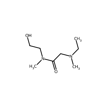 CCN(C)CC(=O)N(C)CCO